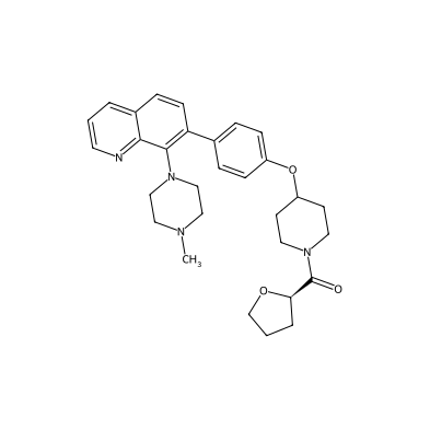 CN1CCN(c2c(-c3ccc(OC4CCN(C(=O)[C@H]5CCCO5)CC4)cc3)ccc3cccnc23)CC1